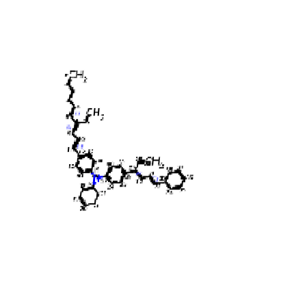 C=CCC/C=C/C(C=C)=C/C=C/c1ccc(N(C2=CC=CCC2)c2ccc(/C(C=C)=C/C=C/C3C=CC=CC3)cc2)cc1